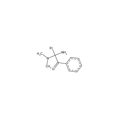 CCC(N)(C(=O)c1ccccc1)N(C)C